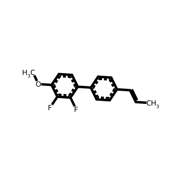 CC=Cc1ccc(-c2ccc(OC)c(F)c2F)cc1